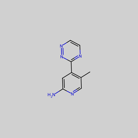 Cc1cnc(N)cc1-c1nccnn1